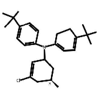 C[C@H]1CC(Cl)=CC(N(C2=CC=C(C(C)(C)C)CC2)c2ccc(C(C)(C)C)cc2)C1